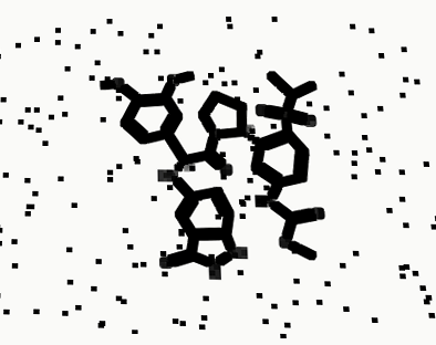 COC(=O)Nc1ccc(S(=O)(=O)C(C)C)c([C@H]2CCCN2C(=O)[C@H](Nc2ccc3[nH][nH]c(=O)c3c2)c2ccc(OC)c(OC)c2)c1